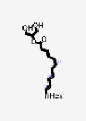 CCCCCC/C=C/C=C/C/C=C\CCCC(=O)OC(CO)CO